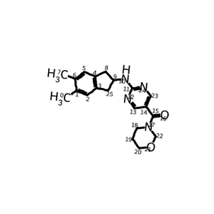 Cc1cc2c(cc1C)CC(Nc1ncc(C(=O)N3CCCOC3)cn1)C2